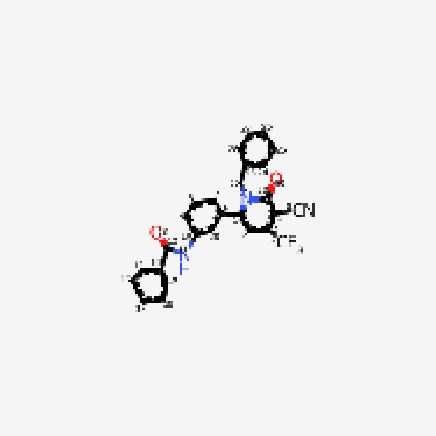 N#Cc1c(C(F)(F)F)cc(-c2cccc(NC(=O)c3ccccc3)c2)n(Cc2ccccc2)c1=O